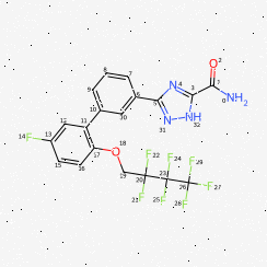 NC(=O)c1nc(-c2cccc(-c3cc(F)ccc3OCC(F)(F)C(F)(F)C(F)(F)F)c2)n[nH]1